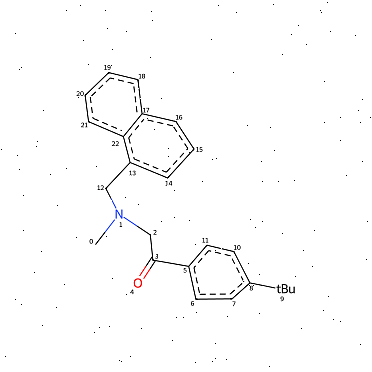 CN(CC(=O)c1ccc(C(C)(C)C)cc1)Cc1cccc2ccccc12